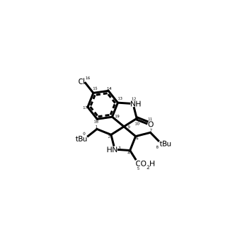 CC(C)(C)CC1NC(C(=O)O)C(CC(C)(C)C)C12C(=O)Nc1cc(Cl)ccc12